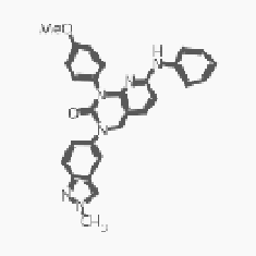 COc1ccc(N2C(=O)N(c3ccc4nn(C)cc4c3)Cc3ccc(Nc4ccccc4)nc32)cc1